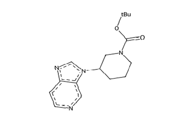 CC(C)(C)OC(=O)N1CCCC(n2cnc3ccncc32)C1